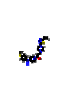 Cc1nnc(N2CCN(CCC(=O)N3CCC(Nc4ccc(SC(F)(F)F)cc4)CC3)CC2)s1